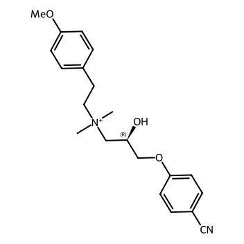 COc1ccc(CC[N+](C)(C)C[C@@H](O)COc2ccc(C#N)cc2)cc1